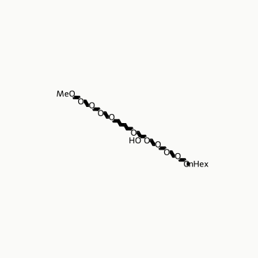 CCCCCCOCCOCCOCCOCCOCC(O)COCCCCCCOCCOCCOCCOCCOC